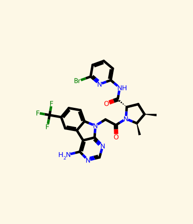 C[C@@H]1C[C@@H](C(=O)Nc2cccc(Br)n2)N(C(=O)Cn2c3ccc(C(F)(F)F)cc3c3c(N)ncnc32)[C@@H]1C